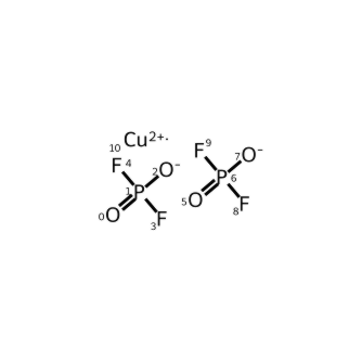 O=P([O-])(F)F.O=P([O-])(F)F.[Cu+2]